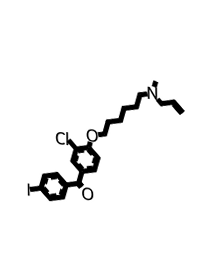 C=CCN(C)CCCCCCOc1ccc(C(=O)c2ccc(I)cc2)cc1Cl